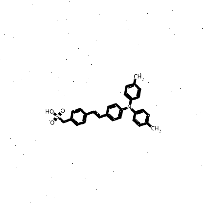 Cc1ccc(N(c2ccc(C)cc2)c2ccc(C=Cc3ccc(CS(=O)(=O)O)cc3)cc2)cc1